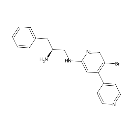 N[C@H](CNc1cc(-c2ccncc2)c(Br)cn1)Cc1ccccc1